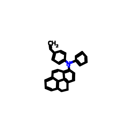 C=Cc1ccc(N(c2ccccc2)c2ccc3c4c2ccc2cccc(c24)CC3)cc1